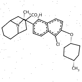 C[C@H](c1ccc2c(Cl)c(O[C@H]3CC[C@@H](C)CC3)ccc2c1)N1C2CCCC1CC(C(=O)O)C2